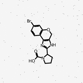 O=C(O)N1CCCC1c1nc2c([nH]1)COc1cc(Br)ccc1-2